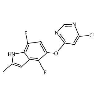 Cc1cc2c(F)c(Oc3cc(Cl)ncn3)cc(F)c2[nH]1